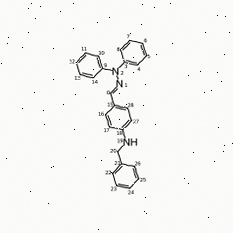 C(=NN(c1ccccc1)c1ccccc1)c1ccc(NCc2ccccc2)cc1